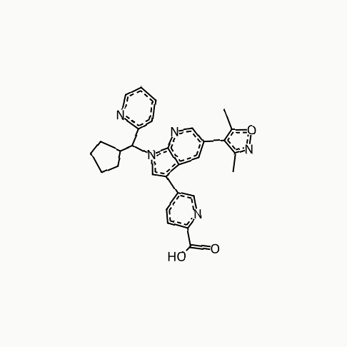 Cc1noc(C)c1-c1cnc2c(c1)c(-c1ccc(C(=O)O)nc1)cn2C(c1ccccn1)C1CCCC1